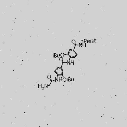 CCCCCNC(=O)c1ccc(NC(=O)c2ccc(NC(=O)CN)c(OCC(C)C)c2)c(OCC(C)C)c1